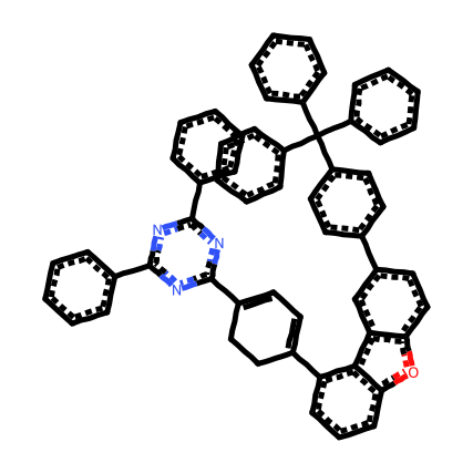 C1=C(c2nc(-c3ccccc3)nc(-c3ccccc3)n2)CCC(c2cccc3oc4ccc(-c5ccc(C(c6ccccc6)(c6ccccc6)c6ccccc6)cc5)cc4c23)=C1